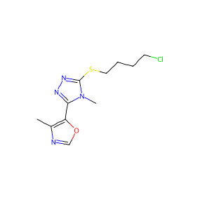 Cc1ncoc1-c1nnc(SCCCCCl)n1C